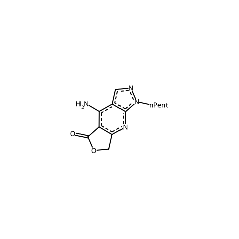 CCCCCn1ncc2c(N)c3c(nc21)COC3=O